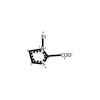 CC[n+]1ccsc1C(=O)[O-]